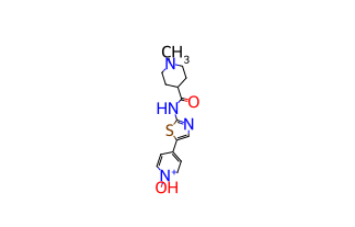 CN1CCC(C(=O)Nc2ncc(-c3cc[n+](O)cc3)s2)CC1